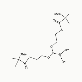 COC(C)(C)C(=O)SCCOP(OCCSC(=O)C(C)(C)OC)N(C(C)C)C(C)C